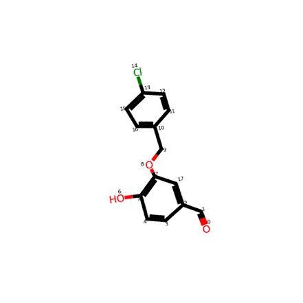 O=Cc1ccc(O)c(OCc2ccc(Cl)cc2)c1